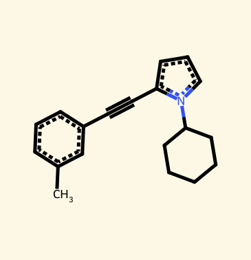 Cc1cccc(C#Cc2cccn2C2CCCCC2)c1